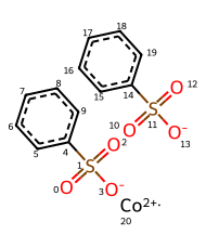 O=S(=O)([O-])c1ccccc1.O=S(=O)([O-])c1ccccc1.[Co+2]